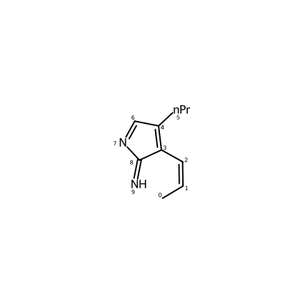 C/C=C\C1=C(CCC)C=NC1=N